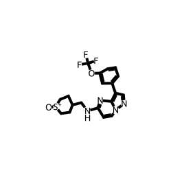 [O-][S+]1CCC(CNc2ccn3ncc(-c4cccc(OC(F)(F)F)c4)c3n2)CC1